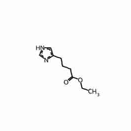 CCOC(=O)CCCc1c[nH]cn1